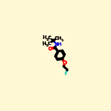 CC(C)(C)NC(=O)c1ccc(OCCF)cc1